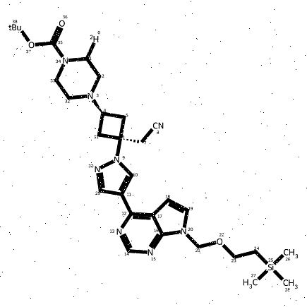 [2H]C1CN([C@H]2C[C@@](CC#N)(n3cc(-c4ncnc5c4ccn5COCC[Si](C)(C)C)cn3)C2)CCN1C(=O)OC(C)(C)C